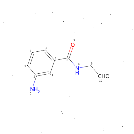 Nc1cccc(C(=O)NCC=O)c1